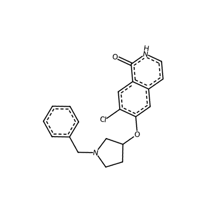 O=c1[nH]ccc2cc(OC3CCN(Cc4ccccc4)C3)c(Cl)cc12